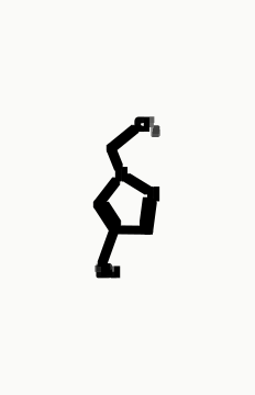 CC(C)(C)c1cnn(CC(F)(F)F)c1